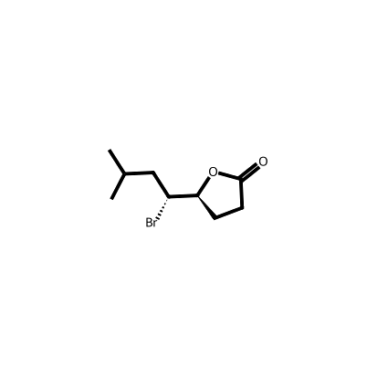 CC(C)C[C@@H](Br)[C@@H]1CCC(=O)O1